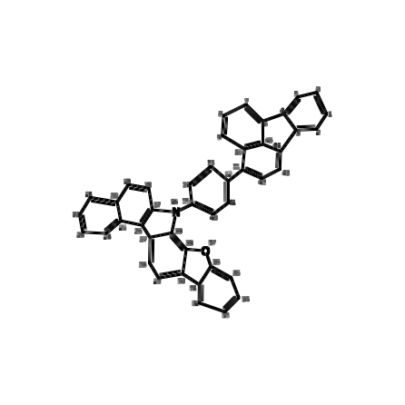 c1ccc2c(c1)-c1cccc3c(-c4ccc(-n5c6ccc7ccccc7c6c6ccc7c8ccccc8oc7c65)cc4)ccc-2c13